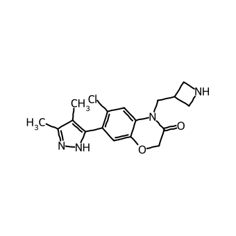 Cc1n[nH]c(-c2cc3c(cc2Cl)N(CC2CNC2)C(=O)CO3)c1C